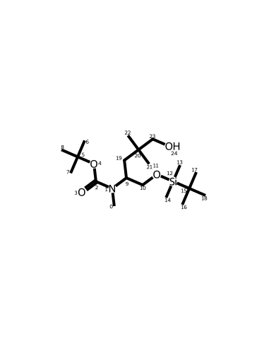 CN(C(=O)OC(C)(C)C)C(CO[Si](C)(C)C(C)(C)C)CC(C)(C)CO